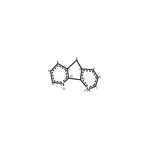 [c]1cnc2c(c1)Cc1c[c]cnc1-2